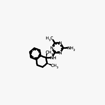 Cc1nc(N)nc(N[C@@]2(C)c3ccccc3CC[C@@H]2C)n1